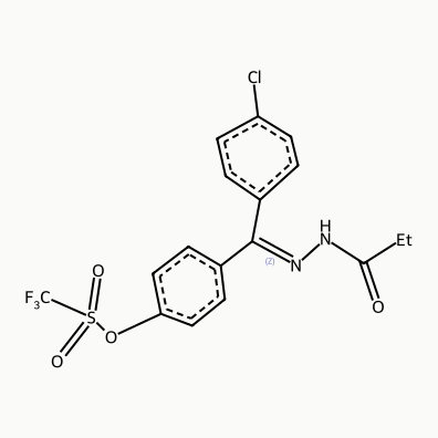 CCC(=O)N/N=C(\c1ccc(Cl)cc1)c1ccc(OS(=O)(=O)C(F)(F)F)cc1